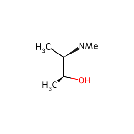 CN[C@H](C)[C@H](C)O